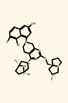 Oc1cc(N2CCc3c(nc(OC[C@@]45CCCN4C[C@H](F)C5)nc3[C@H]3C[C@H]4CC[C@@H](C3)N4)C2)c2c(Br)c(F)ccc2c1